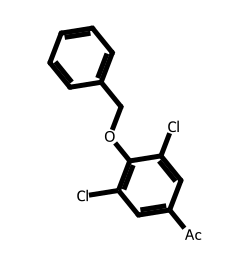 CC(=O)c1cc(Cl)c(OCc2ccccc2)c(Cl)c1